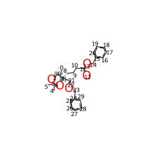 C[C@H]1OC(C)(C)O[C@]1(CCCC(=O)OCc1ccccc1)COCc1ccccc1